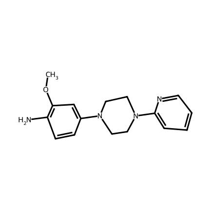 COc1cc(N2CCN(c3ccccn3)CC2)ccc1N